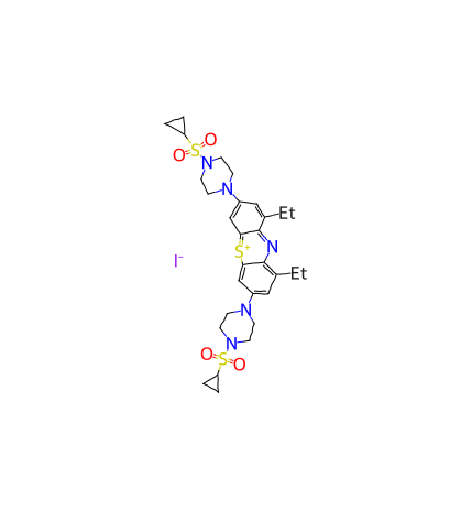 CCc1cc(N2CCN(S(=O)(=O)C3CC3)CC2)cc2[s+]c3cc(N4CCN(S(=O)(=O)C5CC5)CC4)cc(CC)c3nc12.[I-]